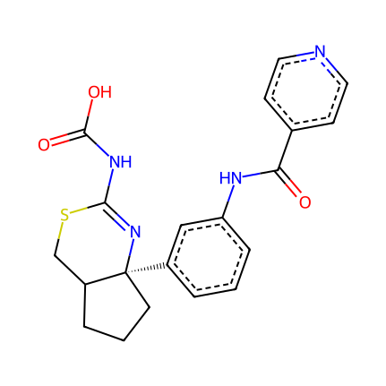 O=C(O)NC1=N[C@@]2(c3cccc(NC(=O)c4ccncc4)c3)CCCC2CS1